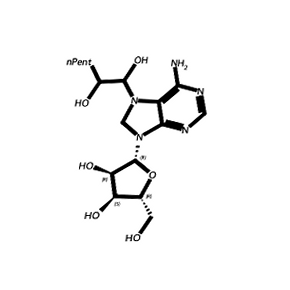 CCCCCC(O)C(O)N1CN([C@@H]2O[C@H](CO)[C@@H](O)[C@H]2O)c2ncnc(N)c21